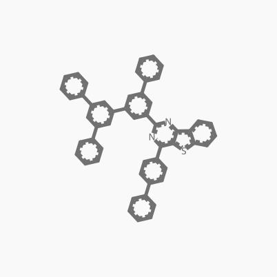 c1ccc(-c2ccc(-c3nc(-c4cc(-c5ccccc5)cc(-c5cc(-c6ccccc6)cc(-c6ccccc6)c5)c4)nc4c3sc3ccccc34)cc2)cc1